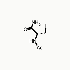 CC(=O)N[C@@H](CI)C(N)=O